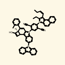 CC/C=C\c1c(CC)n(-c2cc(C#N)c(-n3c4c(c5cc(-n6c7ccccc7c7ccccc76)ccc53)C3C=C(O)[C@H]3C(c3ccccc3C)=C4)cc2C#N)c2ccc3ccccc3c12